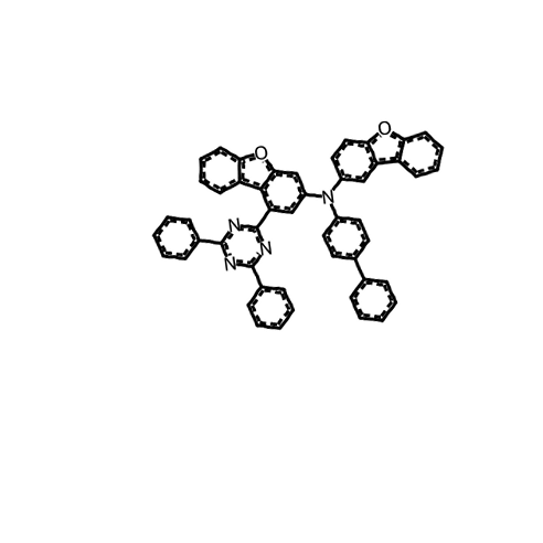 c1ccc(-c2ccc(N(c3cc(-c4nc(-c5ccccc5)nc(-c5ccccc5)n4)c4c(c3)oc3ccccc34)c3ccc4oc5ccccc5c4c3)cc2)cc1